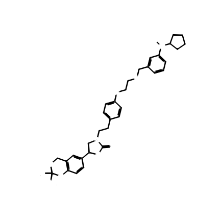 CC1(C)OCc2cc(C3CN(CCc4ccc(OCCOCc5cccc([S+]([O-])C6CCCC6)c5)cc4)C(=O)O3)ccc2O1